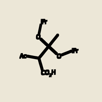 CC(=O)C(C(=O)O)C(C)(OC(C)C)OC(C)C